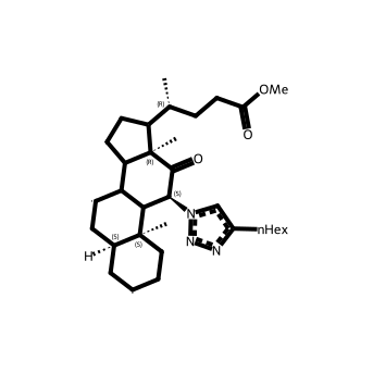 CCCCCCc1cn([C@@H]2C(=O)[C@@]3(C)C(CCC3[C@H](C)CCC(=O)OC)C3[CH]C[C@@H]4C[CH]CC[C@]4(C)C32)nn1